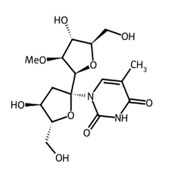 CO[C@H]1[C@H](O)[C@@H](CO)O[C@H]1[C@]1(n2cc(C)c(=O)[nH]c2=O)C[C@H](O)[C@@H](CO)O1